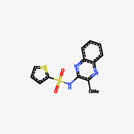 COc1nc2ccccc2nc1NS(=O)(=O)c1cccs1